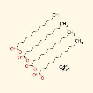 CCCCCCCCCCCC(=O)[O-].CCCCCCCCCCCC(=O)[O-].CCCCCCCCCCCC(=O)[O-].CCCCCCCCCCCC(=O)[O-].[Ba+2].[Cd+2]